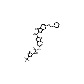 CC(C)(C)c1cc(NC(=O)Nc2cnc3[nH]c(C(=O)c4cc5cc(OCc6ccccc6)ccc5[nH]4)cc3c2)no1